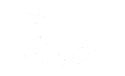 Cc1ccc(C(=O)NC[C@@H](NC(=O)OCC(F)(F)F)C(C)(C)C)cc1